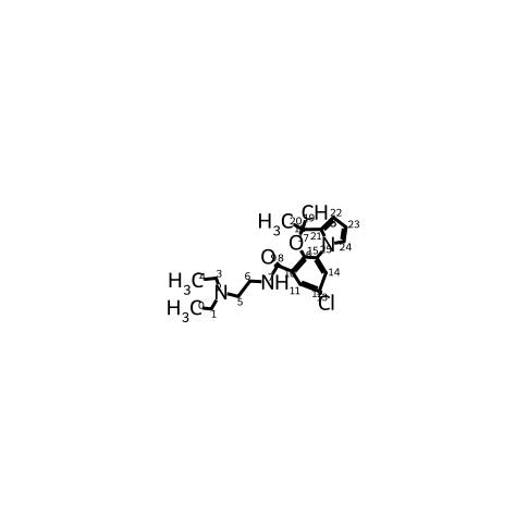 CCN(CC)CCNC(=O)c1cc(Cl)cc2c1OC(C)(C)c1cccn1-2